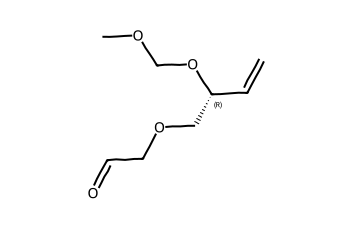 C=C[C@H](COCC=O)OCOC